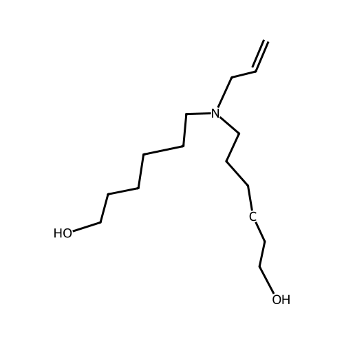 C=CCN(CCCCCCO)CCCCCCO